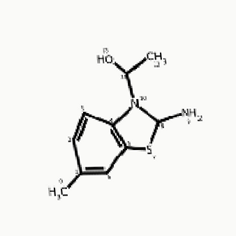 Cc1ccc2c(c1)SC(N)N2C(C)O